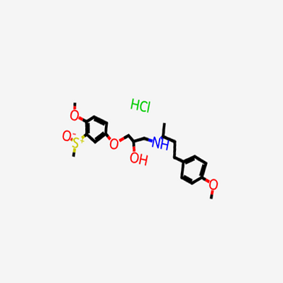 COc1ccc(CCC(C)NCC(O)COc2ccc(OC)c([S+](C)[O-])c2)cc1.Cl